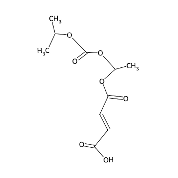 CC(C)OC(=O)OC(C)OC(=O)C=CC(=O)O